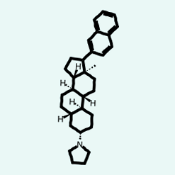 C[C@]12CC[C@H]3[C@@H](CC[C@H]4C[C@@H](N5CCCC5)CC[C@@H]43)[C@@H]1CCC2c1ccc2ccccc2c1